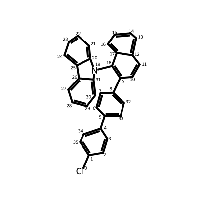 Clc1ccc(-c2ccc(-c3ccc4ccccc4c3-n3c4ccccc4c4ccccc43)cc2)cc1